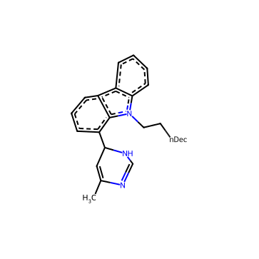 CCCCCCCCCCCCn1c2ccccc2c2cccc(C3C=C(C)N=CN3)c21